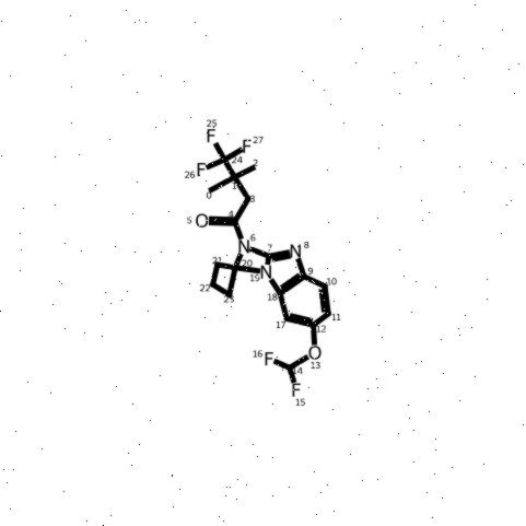 CC(C)(CC(=O)N1c2nc3ccc(OC(F)F)cc3n2C12CCC2)C(F)(F)F